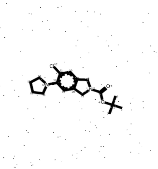 CC(C)(C)OC(=O)N1Cc2cc(Cl)c(N3CCCC3)cc2C1